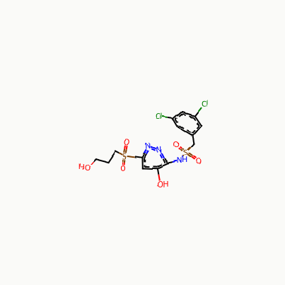 O=S(=O)(Cc1cc(Cl)cc(Cl)c1)Nc1nnc(S(=O)(=O)CCCO)cc1O